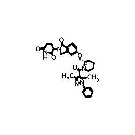 Cc1nn(-c2ccccc2)c(C)c1C(=O)N1CCCC[C@H]1COc1ccc2c(c1)CN(C1CCC(=O)NC1=O)C2=O